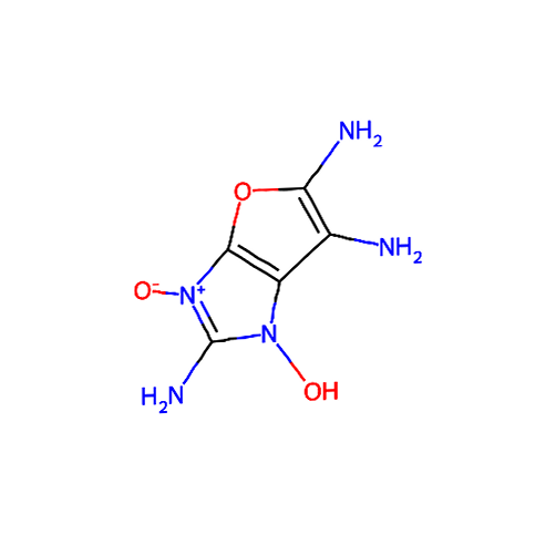 Nc1oc2c(c1N)n(O)c(N)[n+]2[O-]